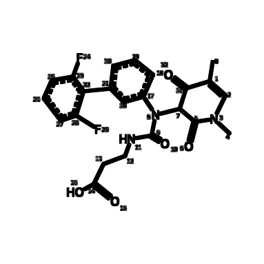 CC1=CN(C)C(=O)C(N(C(=O)NCCC(=O)O)c2cccc(-c3c(F)cccc3F)c2)C1=O